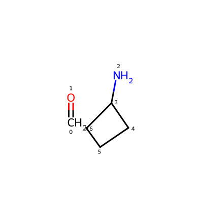 C=O.NC1CCC1